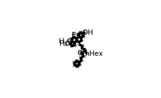 CCCCCCN(CCCC[C@@H]1Cc2cc(O)ccc2C2C1C1CC[C@H](O)[C@@]1(C)C[C@@H]2F)C(=O)CCCc1ccccc1